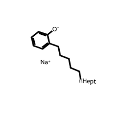 CCCCCCCCCCCCc1ccccc1[O-].[Na+]